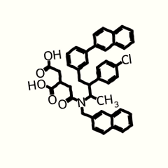 CC(C(Cc1cccc(-c2ccc3ccccc3c2)c1)c1ccc(Cl)cc1)N(Cc1ccc2ccccc2c1)C(=O)CC(CC(=O)O)C(=O)O